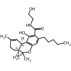 CCCCCc1cc2c(c(O)c1C(=O)NCCO)[C@@H]1C=C(C)CC[C@H]1C(C)(C)O2